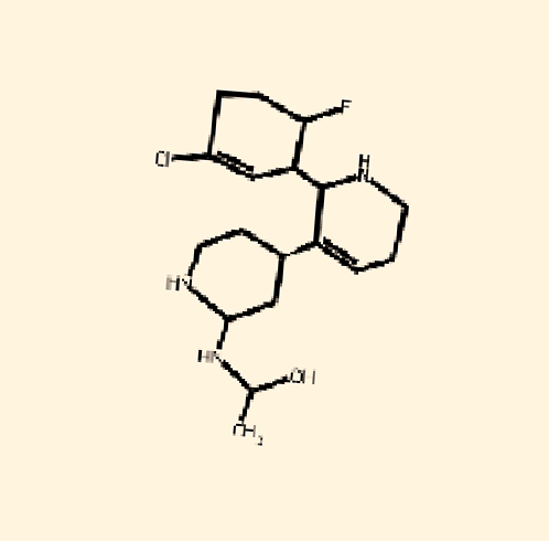 CC(O)NC1C[C@H](C2=CCCNC2C2C=C(Cl)CCC2F)CCN1